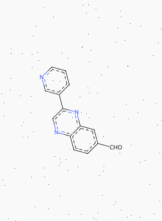 O=Cc1ccc2ncc(-c3cccnc3)nc2c1